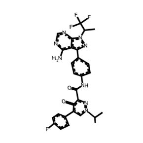 CC(C)n1cc(-c2ccc(F)cc2)c(=O)c(C(=O)Nc2ccc(-c3nn(C(C)C(F)(F)F)c4ncnc(N)c34)cc2)n1